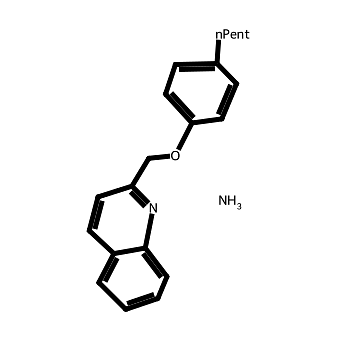 CCCCCc1ccc(OCc2ccc3ccccc3n2)cc1.N